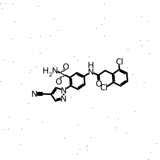 N#Cc1cnn(-c2ccc(NC(=O)Cc3c(Cl)cccc3Cl)cc2S(N)(=O)=O)c1